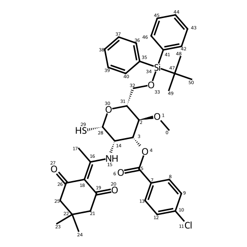 CO[C@H]1[C@H](OC(=O)c2ccc(Cl)cc2)[C@H](NC(C)=C2C(=O)CC(C)(C)CC2=O)[C@H](S)O[C@@H]1CO[Si](c1ccccc1)(c1ccccc1)C(C)(C)C